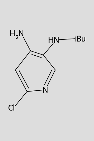 CCC(C)Nc1cnc(Cl)cc1N